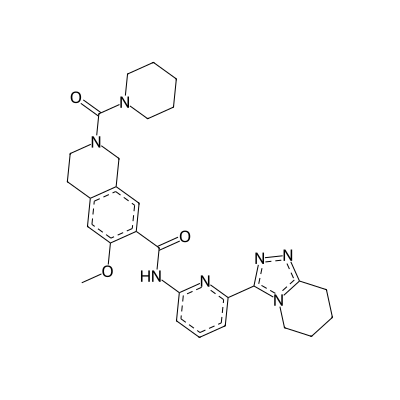 COc1cc2c(cc1C(=O)Nc1cccc(-c3nnc4n3CCCC4)n1)CN(C(=O)N1CCCCC1)CC2